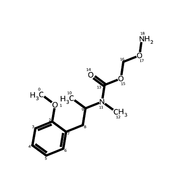 COc1ccccc1CC(C)N(C)C(=O)OCON